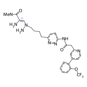 CNC(=O)/C(N)=C/N(N)CCCCc1ccc(NC(=O)Cc2cc(-c3ccccc3OC(F)(F)F)ccn2)nn1